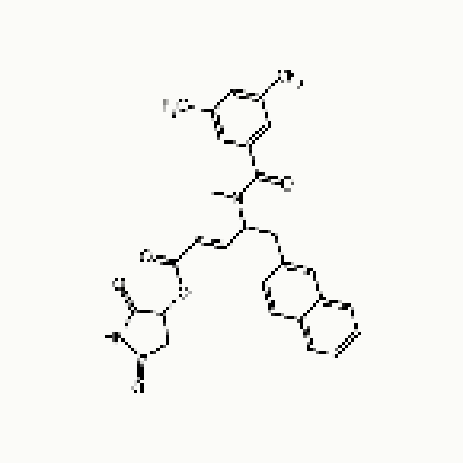 CN(C(=O)c1cc(C(F)(F)F)cc(C(F)(F)F)c1)C(C=CC(=O)OC1CC(=O)NC1=O)Cc1ccc2ccccc2c1